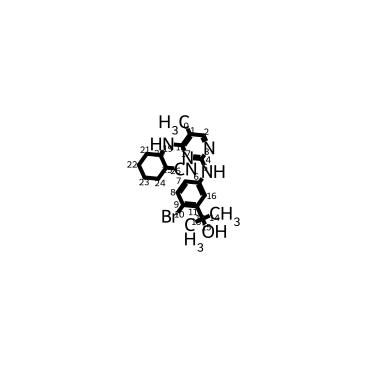 Cc1cnc(Nc2ccc(Br)c(C(C)(C)O)c2)nc1NC1CCCCC1C#N